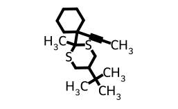 CC#CC1(C2(C)SCC(C(C)(C)C)CS2)CCCCC1